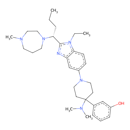 CCC[C@H](c1nc2cc(N3CCC(c4cccc(O)c4)(N(C)C)CC3)ccc2n1CC)N1CCCN(C)CC1